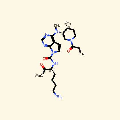 COC(=O)[C@H](CCCCN)NC(=O)n1ccc2c(N(C)[C@H]3CN(C(=O)CC#N)CC[C@H]3C)ncnc21